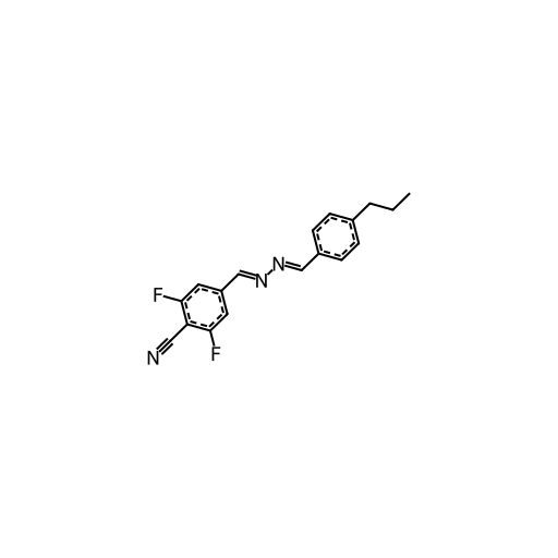 CCCc1ccc(/C=N/N=C/c2cc(F)c(C#N)c(F)c2)cc1